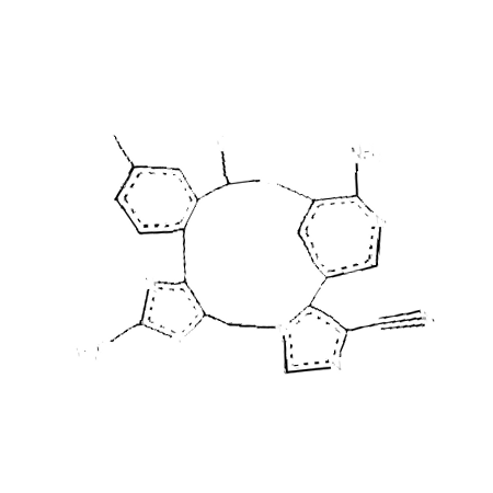 Cc1nc2c(s1)Cn1cnc(C#N)c1-c1cnc(N)c(c1)OC(C)c1cc(F)ccc1-2